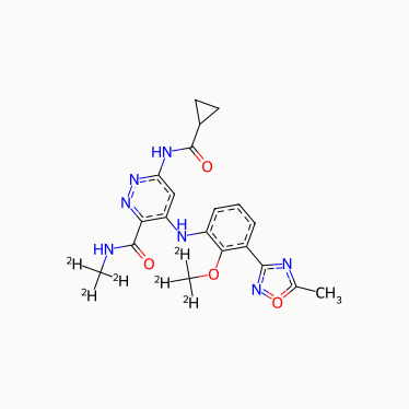 [2H]C([2H])([2H])NC(=O)c1nnc(NC(=O)C2CC2)cc1Nc1cccc(-c2noc(C)n2)c1OC([2H])([2H])[2H]